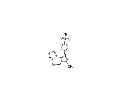 NS(=O)(=O)c1ccc(-n2nc(C(F)(F)F)c(CBr)c2-c2ccccc2)cc1